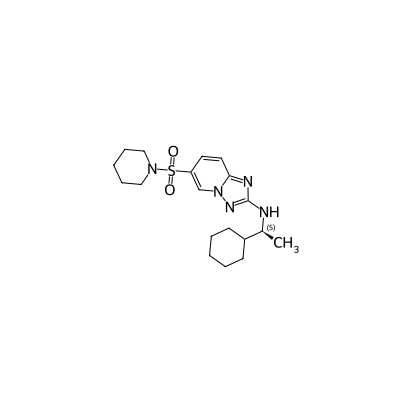 C[C@H](Nc1nc2ccc(S(=O)(=O)N3CCCCC3)cn2n1)C1CCCCC1